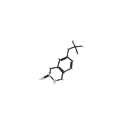 CC(C)(C)Cc1ccc2c(c1)CS(=O)OC2